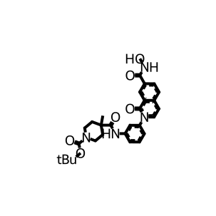 CC(C)(C)OC(=O)N1CCC(C)(C(=O)Nc2cccc(-n3ccc4ccc(C(=O)NO)cc4c3=O)c2)CC1